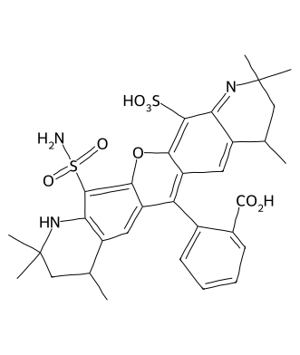 CC1CC(C)(C)Nc2c1cc1c(c2S(N)(=O)=O)Oc2c(S(=O)(=O)O)c3c(cc2=C1c1ccccc1C(=O)O)C(C)CC(C)(C)N=3